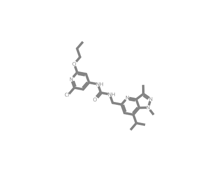 CCCOc1cc(NC(=O)NCc2cc(C(C)C)c3c(n2)c(C)nn3C)cc(Cl)n1